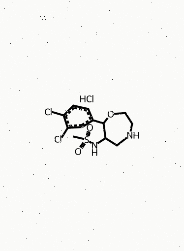 CS(=O)(=O)NC1CNCCOC1c1ccc(Cl)c(Cl)c1.Cl